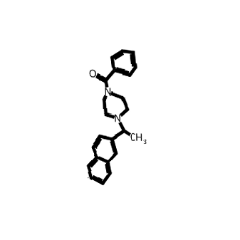 CC(c1ccc2c[c]ccc2c1)N1CCN(C(=O)c2ccccc2)CC1